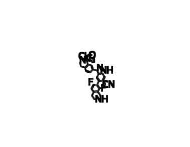 CN1CCc2ccc(-c3n[nH]c4cc(C#N)c(-c5c(F)cc6c(c5F)CNCC6)cc34)cc2C1=C=O